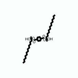 CCCCCCCCCCCCCCC(C)(O)OC(=O)c1ccc(C(=O)OC(C)(O)CCCCCCCCCCCCCC)cc1